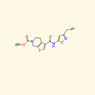 CC(C)Cc1cc(NC(=O)c2csc3c2CCN(C(=O)OC(C)(C)C)C3)on1